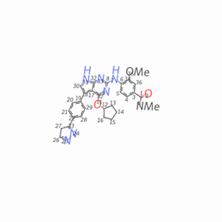 CNC(=O)c1ccc(Nc2nc(OC3CCCC3)c3c(-c4ccc(C5=NN=CC5)cc4)c[nH]c3n2)c(OC)c1